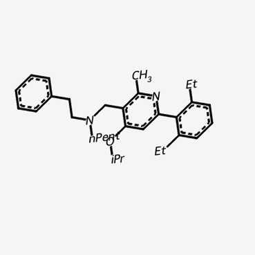 CCCCCN(CCc1ccccc1)Cc1c(OC(C)C)cc(-c2c(CC)cccc2CC)nc1C